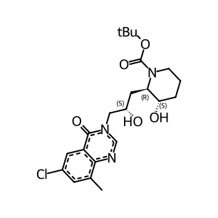 Cc1cc(Cl)cc2c(=O)n(C[C@@H](O)C[C@@H]3[C@@H](O)CCCN3C(=O)OC(C)(C)C)cnc12